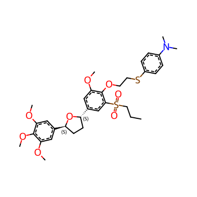 CCCS(=O)(=O)c1cc([C@@H]2CC[C@@H](c3cc(OC)c(OC)c(OC)c3)O2)cc(OC)c1OCCSc1ccc(N(C)C)cc1